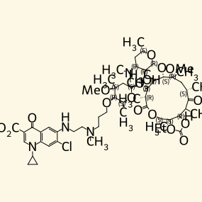 CC[C@@H]1OC(=O)[C@H](C)[C@H](O[C@@H]2C[C@](C)(OC)[C@H](OCCCN(C)CCNc3cc4c(=O)c(C(=O)O)cn(C5CC5)c4cc3Cl)[C@H](C)O2)[C@@H](C)[C@H](O[C@H]2O[C@@H](C)C[C@@H](N(C)C)[C@H]2O)[C@](C)(OC)C[C@H](C)C(=O)C(C)[C@H]2OC(=O)O[C@@]12C